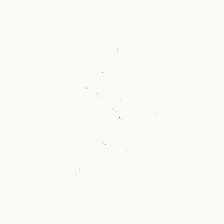 CC(C)(F)C(=O)N1CCN(c2ccc(-c3ccc(Cl)cc3N3CCCC(n4ncc(C(=O)O)c4C(F)F)C3)cc2)CC1